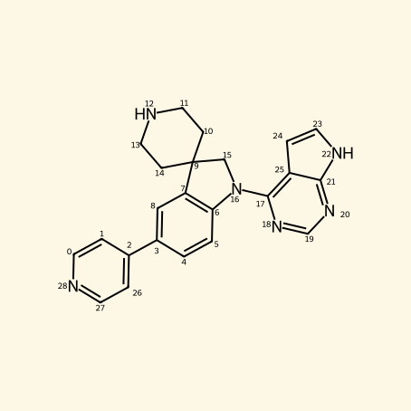 c1cc(-c2ccc3c(c2)C2(CCNCC2)CN3c2ncnc3[nH]ccc23)ccn1